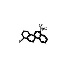 O=[N+]([O-])c1cc2c3c(ccc2c2ccccc12)C(F)CCC3